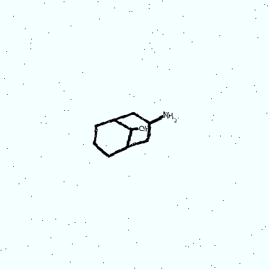 NC1CC2CCCC(C1)C2O